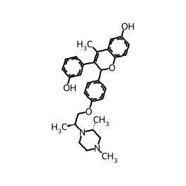 CC1=C(c2cccc(O)c2)C(c2ccc(OC[C@H](C)N3CCN(C)C[C@H]3C)cc2)Oc2ccc(O)cc21